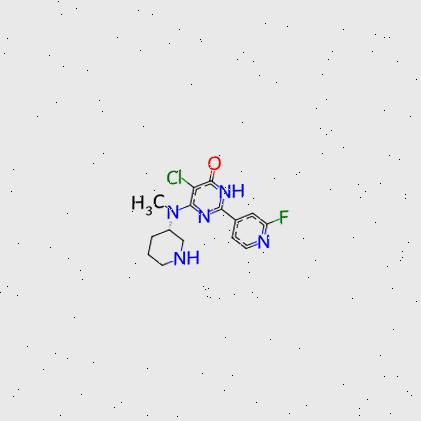 CN(c1nc(-c2ccnc(F)c2)[nH]c(=O)c1Cl)[C@H]1CCCNC1